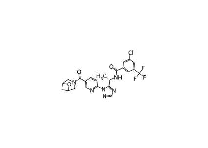 C[C@H](NC(=O)c1cc(Cl)cc(C(F)(F)F)c1)c1ncnn1-c1ccc(C(=O)N2CC3CC(C2)O3)cn1